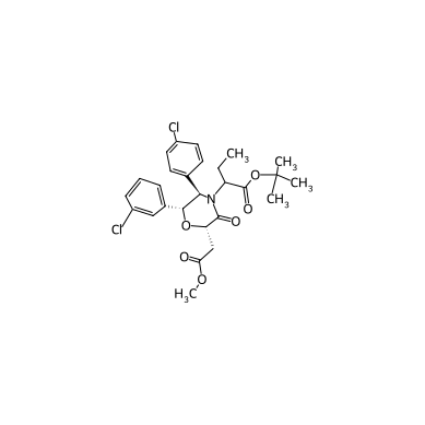 CCC(C(=O)OC(C)(C)C)N1C(=O)[C@H](CC(=O)OC)O[C@H](c2cccc(Cl)c2)[C@H]1c1ccc(Cl)cc1